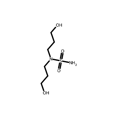 NS(=O)(=O)N(CCCO)CCCO